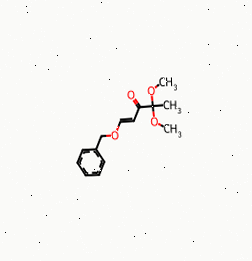 COC(C)(OC)C(=O)C=COCc1ccccc1